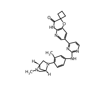 Cc1cc(Nc2nccc(-c3cnc4c(c3)OC3(CCC3)C(=O)N4)n2)ccc1N1C[C@@H]2C[C@H]1CN2C